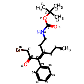 CCC/C(CCNC(=O)OC(C)(C)C)=C(/C(=O)CBr)c1ccccc1